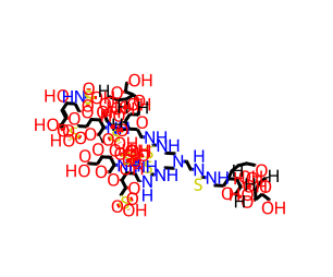 O=C(O)C1=C[C@@H](O)C(NS(=O)(=O)O)[C@H](O[C@@H]2C(CS(=O)(=O)O)O[C@H](CO[C@@H]3C(C(=O)O)O[C@@H](O[C@@H]4C(CS(=O)(=O)O)O[C@@H](NC(=S)NCCN(CCNC(=S)NCC5O[C@@H]6OC7C(CO)O[C@H](OCCCCC5[C@H](O)C6O)C(O)[C@H]7O)CCNC(=S)NCC5O[C@@H]6OC7C(CO)O[C@H](OCCCCC5[C@H](O)C6O)C(O)[C@H]7O)C(NS(=O)(=O)O)[C@@H]4O)C(NS(=O)(=O)O)[C@@H]3O)C(NS(=O)(=O)O)[C@@H]2O)O1